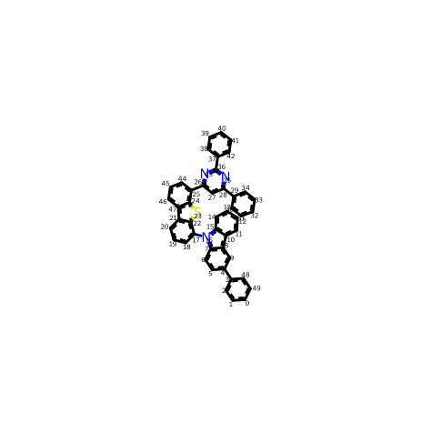 c1ccc(-c2ccc3c(c2)c2ccccc2n3-c2cccc3c2sc2c(-c4cc(-c5ccccc5)nc(-c5ccccc5)n4)cccc23)cc1